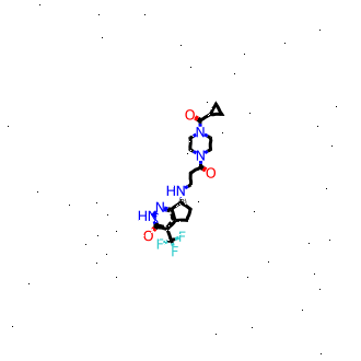 O=C(CCN[C@@H]1CCc2c1n[nH]c(=O)c2C(F)(F)F)N1CCN(C(=O)C2CC2)CC1